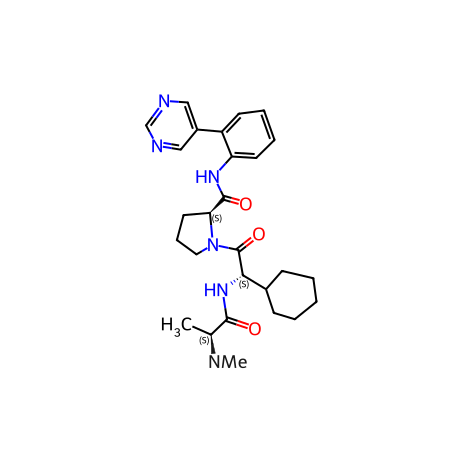 CN[C@@H](C)C(=O)N[C@H](C(=O)N1CCC[C@H]1C(=O)Nc1ccccc1-c1cncnc1)C1CCCCC1